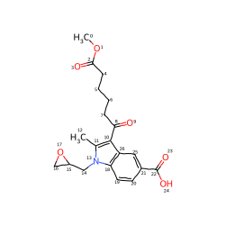 COC(=O)CCCCC(=O)c1c(C)n(CC2CO2)c2ccc(C(=O)O)cc12